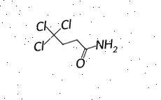 NC(=O)CCC(Cl)(Cl)Cl